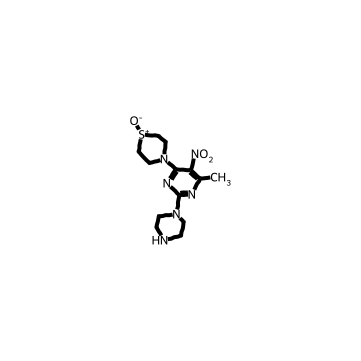 Cc1nc(N2CCNCC2)nc(N2CC[S+]([O-])CC2)c1[N+](=O)[O-]